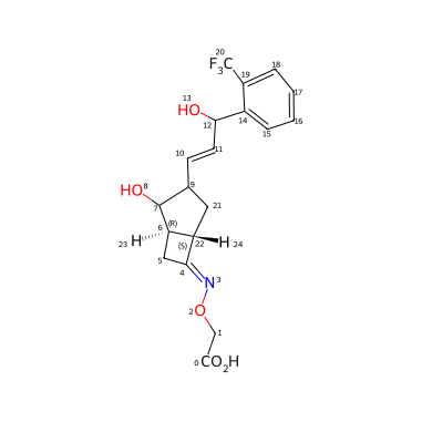 O=C(O)CON=C1C[C@H]2C(O)C(C=CC(O)c3ccccc3C(F)(F)F)C[C@H]12